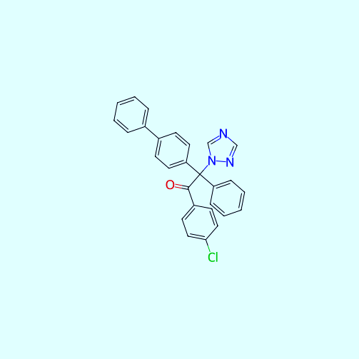 O=C(c1ccc(Cl)cc1)C(c1ccccc1)(c1ccc(-c2ccccc2)cc1)n1cncn1